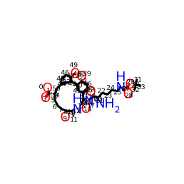 COC(=O)[C@H]1CCCC(=O)[C@H](C)NC(=O)[C@@H](N(C)C(=O)[C@@H](N)CCCCNC(=O)OC(C)(C)C)c2ccc(OC)c(c2)-c2cc(ccc2OC)C1